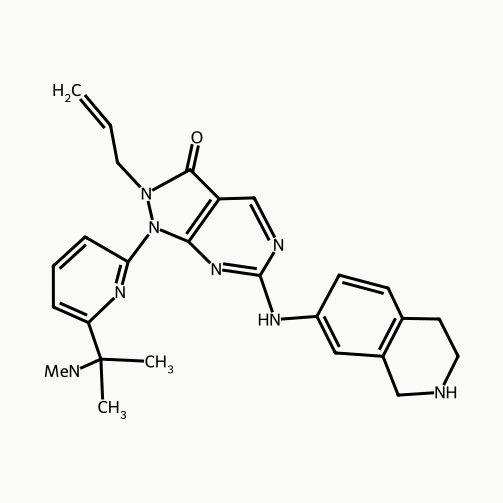 C=CCn1c(=O)c2cnc(Nc3ccc4c(c3)CNCC4)nc2n1-c1cccc(C(C)(C)NC)n1